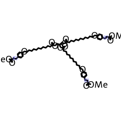 COC(=O)/C=C/c1ccc(OCCCCCCCCCCCC(=O)OCC(COC(=O)CCCCCCCCCCCOc2ccc(/C=C/C(=O)OC)cc2)OC(=O)CCCCCCCCCCCOc2ccc(/C=C/C(=O)OC)cc2)cc1